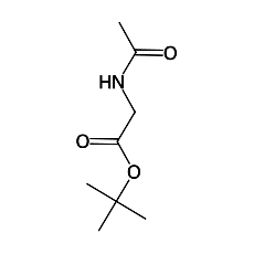 CC(=O)NCC(=O)OC(C)(C)C